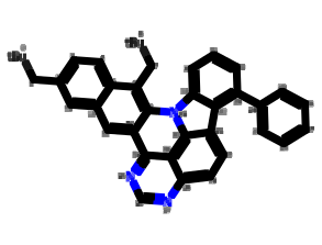 CC(C)(C)Cc1ccc2c(CC(C)(C)C)c3c(cc2c1)c1ncnc2ccc4c5c(-c6ccccc6)cccc5n3c4c21